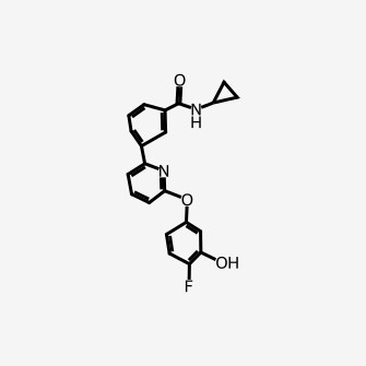 O=C(NC1CC1)c1cccc(-c2cccc(Oc3ccc(F)c(O)c3)n2)c1